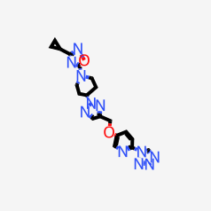 c1cc(-n2cnnn2)ncc1OCc1cnn(C2CCN(c3nc(C4CC4)no3)CC2)n1